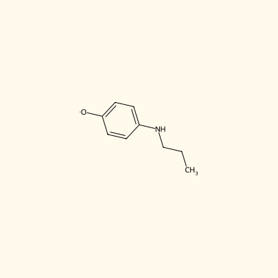 CCCNc1ccc([O])cc1